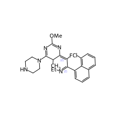 CC/N=C(\C(F)=C1\N=C(OC)N=C(N2CCNCC2)C1C)c1cccc2cccc(Cl)c12